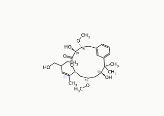 CCC(/C=C(/C)C1C[C@@H](OC)C[C@H](O)C(C)(C)c2cccc(c2)C[C@@H](OC)[C@H](O)C(=O)O1)CO